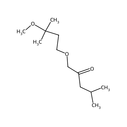 COC(C)(C)CCOCC(=O)CC(C)C